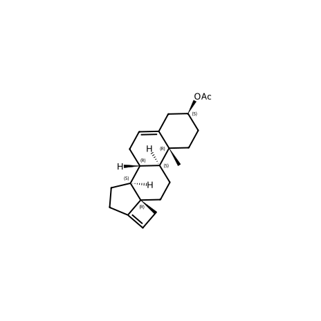 CC(=O)O[C@H]1CC[C@@]2(C)C(=CC[C@H]3[C@@H]4CCC5=CC[C@@]54CC[C@@H]32)C1